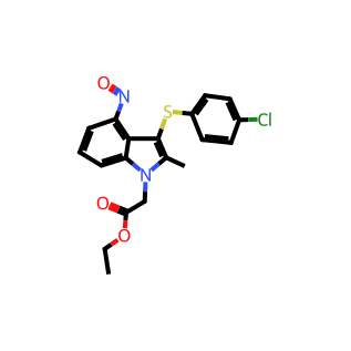 CCOC(=O)Cn1c(C)c(Sc2ccc(Cl)cc2)c2c(N=O)cccc21